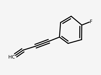 C#CC#Cc1ccc(F)cc1